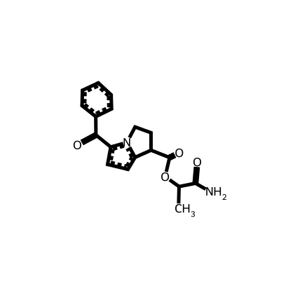 CC(OC(=O)C1CCn2c(C(=O)c3ccccc3)ccc21)C(N)=O